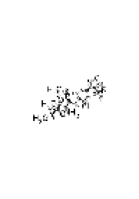 CCOC(=O)C(C)(OCC)C(N)C(=C=O)Cc1ccc(-c2sccc2C(F)(F)F)cc1Cl